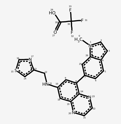 Cn1ccc2ccc(-c3cc(NCc4cscn4)cc4nccnc34)cc21.O=C(O)C(F)(F)F